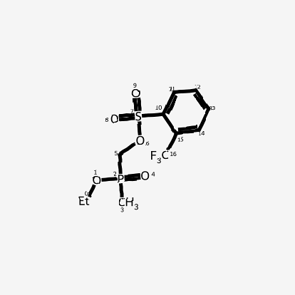 CCOP(C)(=O)COS(=O)(=O)c1ccccc1C(F)(F)F